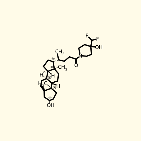 CC(CCC(=O)N1CCC(O)(C(F)F)CC1)[C@H]1CC[C@H]2[C@@H]3CC=C4C[C@@H](O)CC[C@]4(C)[C@H]3CC[C@]12C